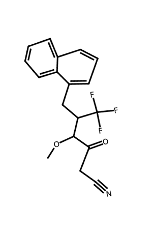 COC(C(=O)CC#N)C(Cc1cccc2ccccc12)C(F)(F)F